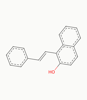 Oc1ccc2ccccc2c1C=Cc1ccccc1